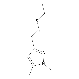 CCSC=Cc1cc(C)n(C)n1